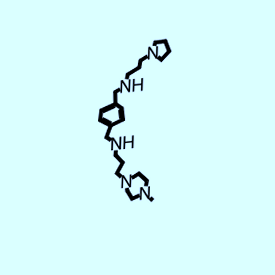 CN1CCN(CCCNCc2ccc(CNCCCN3CCCC3)cc2)CC1